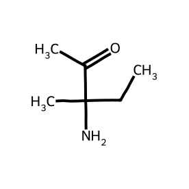 CCC(C)(N)C(C)=O